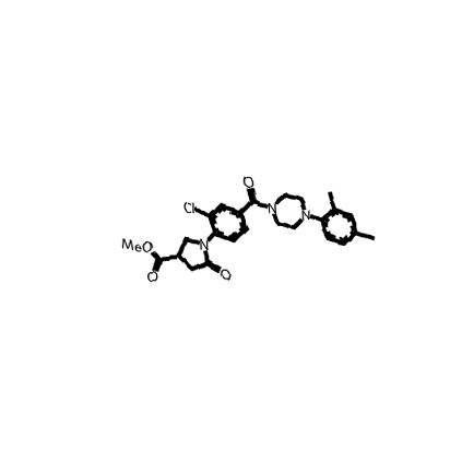 COC(=O)C1CC(=O)N(c2ccc(C(=O)N3CCN(c4ccc(C)cc4C)CC3)cc2Cl)C1